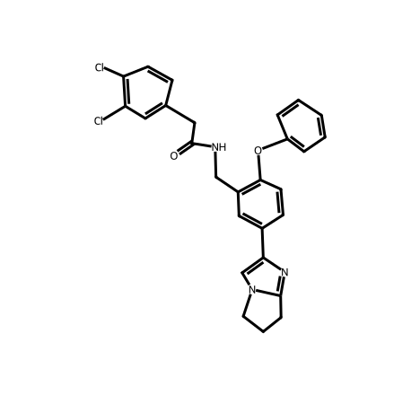 O=C(Cc1ccc(Cl)c(Cl)c1)NCc1cc(-c2cn3c(n2)CCC3)ccc1Oc1ccccc1